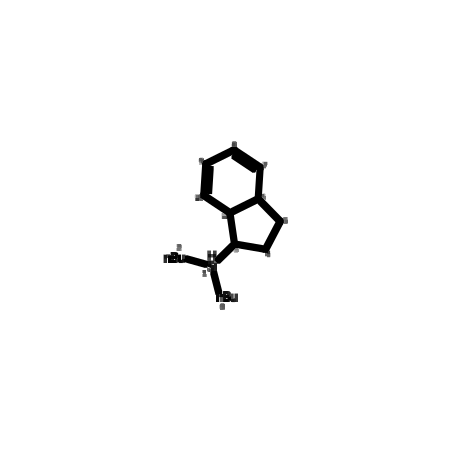 CCCC[SiH](CCCC)C1CCC2C=CC=CC21